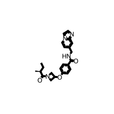 CC[C@H](C)C(=O)N1CC(Oc2ccc(C(=O)NCc3ccn4ccnc4c3)cc2)C1